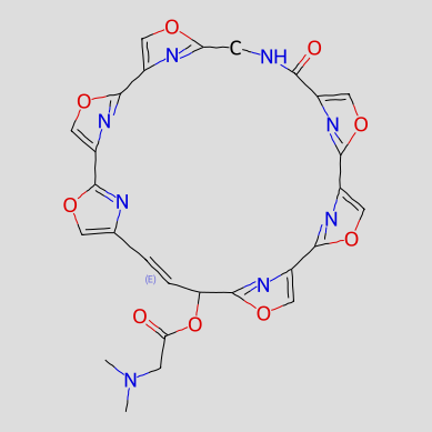 CN(C)CC(=O)OC1/C=C/c2coc(n2)-c2coc(n2)-c2coc(n2)CNC(=O)c2coc(n2)-c2coc(n2)-c2coc1n2